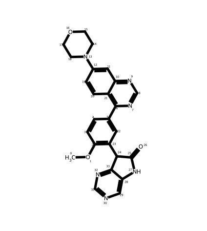 COc1ccc(-c2ncnc3cc(N4CCOCC4)ccc23)cc1C1C(=O)Nc2cncnc21